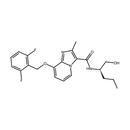 CCC[C@H](CO)NC(=O)c1c(C)nc2c(OCc3c(F)cccc3F)cccn12